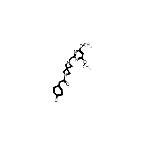 COc1cc(OC)nc(CN2CC3(C2)CN(C(=O)Cc2ccc(Cl)cc2)C3)n1